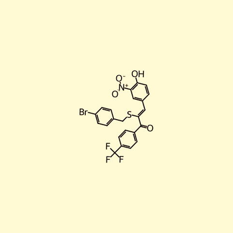 O=C(C(=Cc1ccc(O)c([N+](=O)[O-])c1)SCc1ccc(Br)cc1)c1ccc(C(F)(F)F)cc1